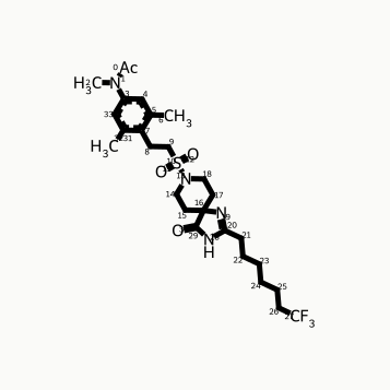 CC(=O)N(C)c1cc(C)c(CCS(=O)(=O)N2CCC3(CC2)N=C(CCCCCCC(F)(F)F)NC3=O)c(C)c1